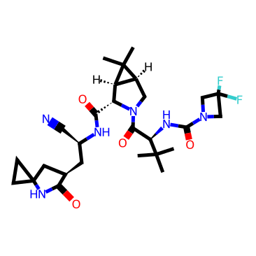 CC(C)(C)[C@H](NC(=O)N1CC(F)(F)C1)C(=O)N1C[C@H]2[C@@H]([C@H]1C(=O)N[C@H](C#N)C[C@@H]1CC3(CC3)NC1=O)C2(C)C